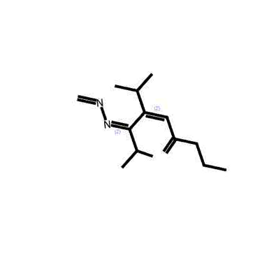 C=N/N=C(\C(=C/C(=C)CCC)C(C)C)C(C)C